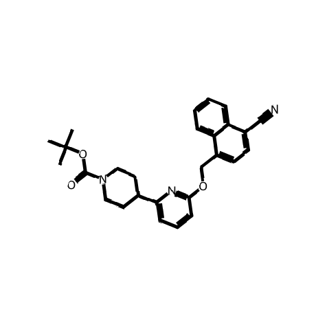 CC(C)(C)OC(=O)N1CCC(c2cccc(OCc3ccc(C#N)c4ccccc34)n2)CC1